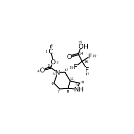 CCOC(=O)N1CCC2NCC2C1.O=C(O)C(F)(F)F